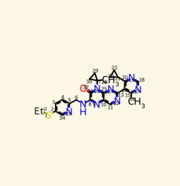 CCSc1ccc(CNc2nc3cnc(-c4c(C)ncnc4C4CC4)nc3n(C3(C)CC3)c2=O)nc1